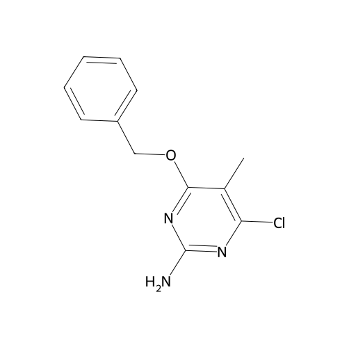 Cc1c(Cl)nc(N)nc1OCc1ccccc1